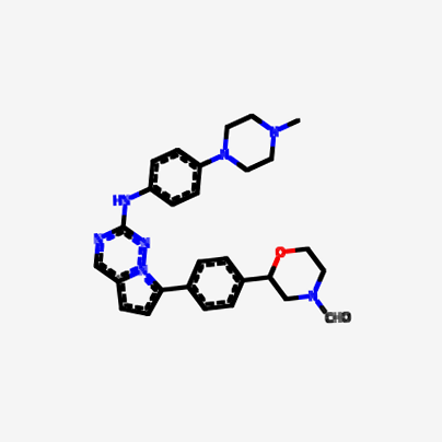 CN1CCN(c2ccc(Nc3ncc4ccc(-c5ccc(C6CN(C=O)CCO6)cc5)n4n3)cc2)CC1